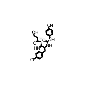 N#Cc1ccc(NC(=O)NC(Cc2ccc(Cl)cc2)C(=N)NC(=O)CCO)cc1